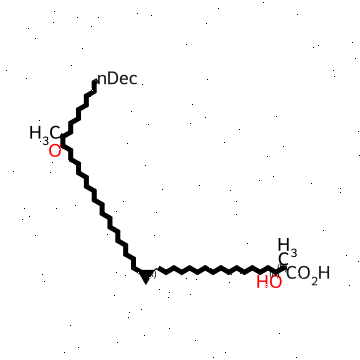 CCCCCCCCCCCCCCCCCCC(C)C(=O)CCCCCCCCCCCCCCCCCCC1C[C@H]1CCCCCCCCCCCCCCC[C@@H](O)[C@@H](C)C(=O)O